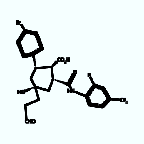 O=CCC[C@@]1(O)C[C@H](c2ccc(Br)cc2)[C@@H](C(=O)O)[C@H](C(=O)Nc2ccc(C(F)(F)F)cc2F)C1